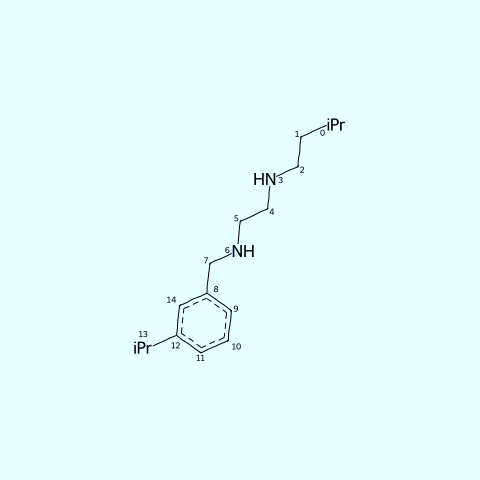 CC(C)CCNCCNCc1cccc(C(C)C)c1